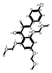 COCOc1cc(OCOC)c(C(=O)C(C)=Cc2ccc(Cl)cc2)c(OCOC)c1